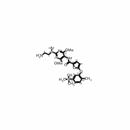 COc1nc(N(CCN)C(C)=O)nc(OC)c1NC(=O)c1ccc(Oc2cc([Si](C)(C)C)ccc2C)o1